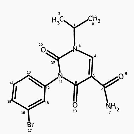 CC(C)n1cc(C(N)=O)c(=O)n(-c2cccc(Br)c2)c1=O